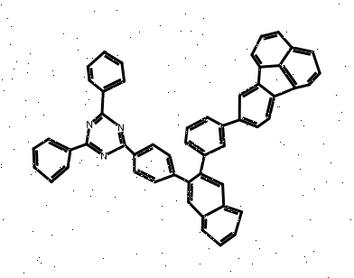 c1ccc(-c2nc(-c3ccccc3)nc(-c3ccc(-c4cc5ccccc5cc4-c4cccc(-c5ccc6c(c5)-c5cccc7cccc-6c57)c4)cc3)n2)cc1